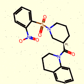 O=C([C@@H]1CCCN(S(=O)(=O)c2ccccc2[N+](=O)[O-])C1)N1CCCc2ccccc21